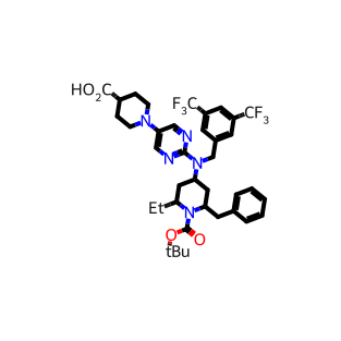 CCC1CC(N(Cc2cc(C(F)(F)F)cc(C(F)(F)F)c2)c2ncc(N3CCC(C(=O)O)CC3)cn2)CC(Cc2ccccc2)N1C(=O)OC(C)(C)C